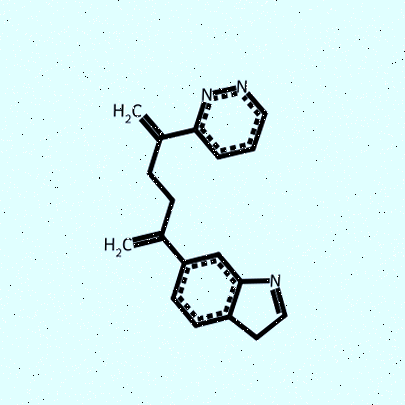 C=C(CCC(=C)c1cccnn1)c1ccc2c(c1)N=CC2